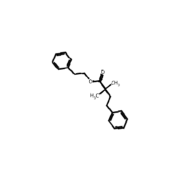 CC(C)(CCc1ccccc1)C(=O)OCCc1ccccc1